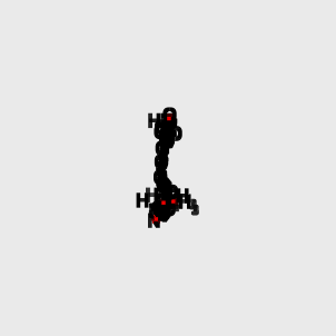 CC1(C)C(NC(=O)c2ccc(OCCCOCCCOc3ccc4c(c3)C(=O)N(C3CCC(=O)NC3=O)C4=O)cc2)C2(C)c3ccnc4c(C#N)ccc(c34)O[C@@H]12